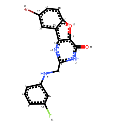 O=c1[nH]c(CNc2cccc(F)c2)nc2c1oc1ccc(Br)cc12